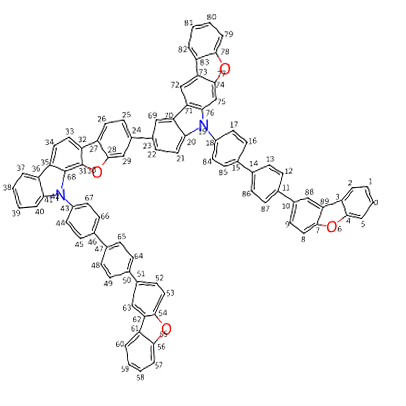 c1ccc2c(c1)oc1ccc(-c3ccc(-c4ccc(-n5c6ccc(-c7ccc8c(c7)oc7c8ccc8c9ccccc9n(-c9ccc(-c%10ccc(-c%11ccc%12oc%13ccccc%13c%12c%11)cc%10)cc9)c87)cc6c6cc7c(cc65)oc5ccccc57)cc4)cc3)cc12